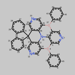 c1ccc(B2c3cncc4c3N3c5c2cncc5C(c2ccccc2)(c2ccccc2)c2cncc(c23)B4c2ccccc2)cc1